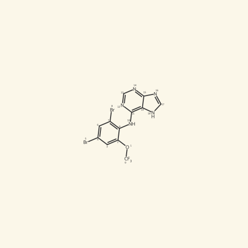 FC(F)(F)Oc1cc(Br)cc(Br)c1Nc1ncnc2nc[nH]c12